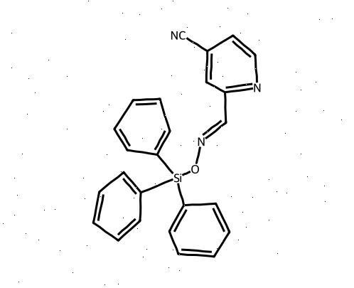 N#Cc1ccnc(C=NO[Si](c2ccccc2)(c2ccccc2)c2ccccc2)c1